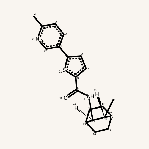 Cc1ccc(-c2ccc(C(=O)N[C@@H]3C4CCN(CC4)[C@H]3C)s2)cn1